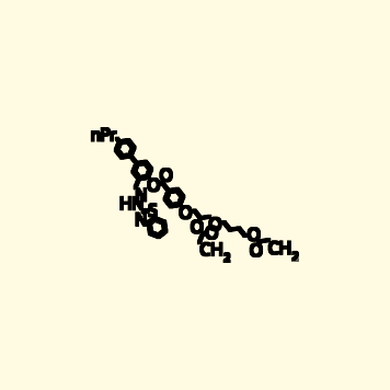 C=CC(=O)OCCCCOCC(COc1ccc(C(=O)Oc2ccc(-c3ccc(CCC)cc3)cc2/C=N/Nc2nc3ccccc3s2)cc1)OC(=O)C=C